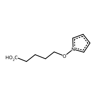 O=C(O)CCCCOn1cccc1